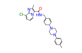 Cc1ccc(N2CCN(C3C=CC(CNC(=O)c4c(C)nc5c(Cl)cccn45)=CC3)CC2)cc1